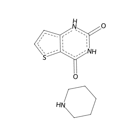 C1CCNCC1.O=c1[nH]c(=O)c2sccc2[nH]1